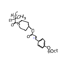 CCCCCCCCOc1ccc(/C=C/C(=O)OC2CCN(C(=O)C(C)(C)CC)CC2)cc1